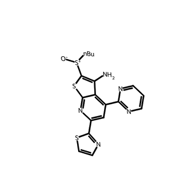 CCCC[S+]([O-])c1sc2nc(-c3nccs3)cc(-c3ncccn3)c2c1N